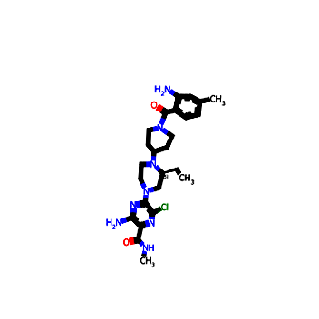 CC[C@H]1CN(c2nc(N)c(C(=O)NC)nc2Cl)CCN1C1CCN(C(=O)c2ccc(C)cc2N)CC1